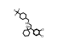 OC1(C(CNCC2CCC(C(F)(F)F)CC2)c2ccc(Cl)c(Cl)c2)CCCCC1